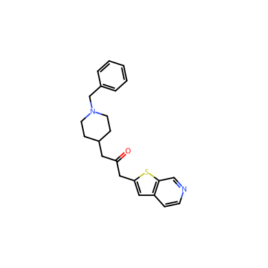 O=C(Cc1cc2ccncc2s1)CC1CCN(Cc2ccccc2)CC1